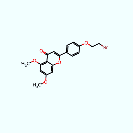 COc1cc(OC)c2c(=O)cc(-c3ccc(OCCBr)cc3)oc2c1